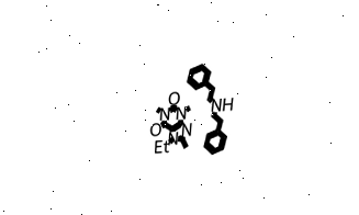 CCn1c(C)nc2c1c(=O)n(C)c(=O)n2C.c1ccc(CCNCCc2ccccc2)cc1